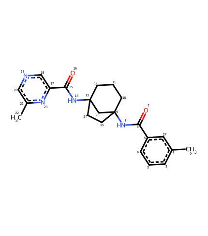 Cc1cccc(C(=O)NC23CCCC(NC(=O)c4cncc(C)n4)(CC2)C3)c1